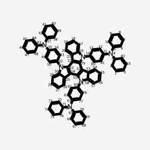 C1=CCC(N(c2ccccc2)c2ccc(-n3c4ccccc4c4c5c(c6ccccc6n5-c5ccc(N(c6ccccc6)c6ccccc6)cc5)c5c(c6ccccc6n5-c5ccc(N(c6ccccc6)C6C=CC=CC6)cc5)c43)cc2)C=C1